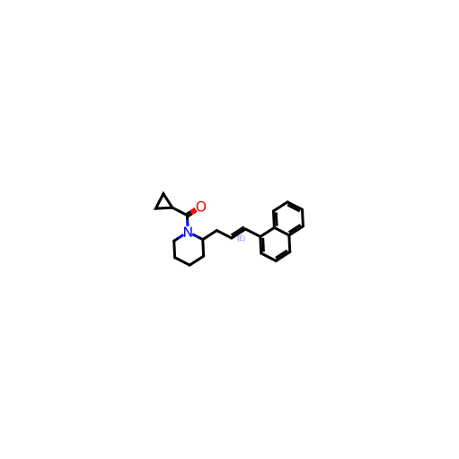 O=C(C1CC1)N1CCCCC1C/C=C/c1cccc2ccccc12